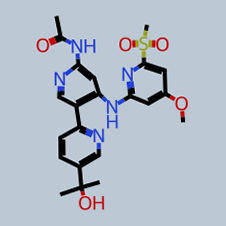 COc1cc(Nc2cc(NC(C)=O)ncc2-c2ccc(C(C)(C)O)cn2)nc(S(C)(=O)=O)c1